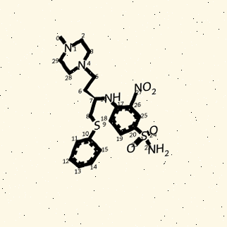 CN1CCN(CC[C@H](CSc2ccccc2)Nc2ccc(S(N)(=O)=O)cc2[N+](=O)[O-])CC1